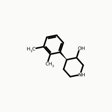 Cc1cccc([C@@H]2CCNCC2O)c1C